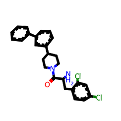 NC(Cc1ccc(Cl)cc1Cl)C(=O)N1CCC(c2cccc(-c3ccccc3)c2)CC1